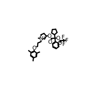 Cc1cc(C)c(OCCC[N+]2(C)CCC(OC(=O)C(OC(=O)C(F)(F)F)(c3ccccc3)C3CCCC3)C2)c(C)c1